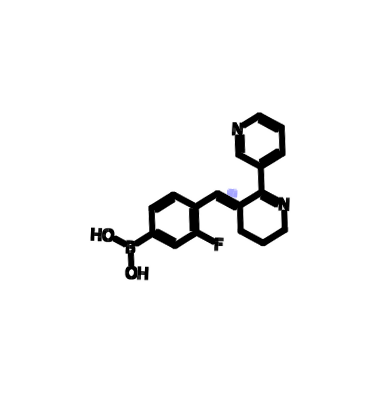 OB(O)c1ccc(/C=C2\CCCN=C2c2cccnc2)c(F)c1